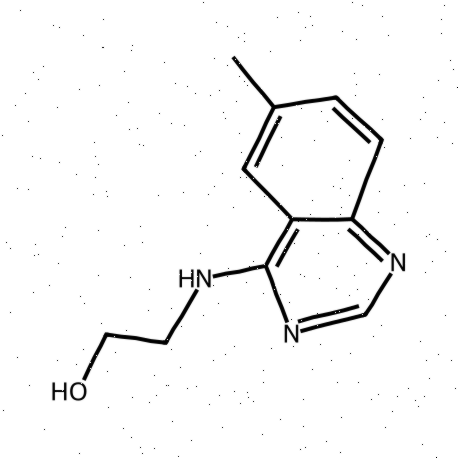 Cc1ccc2ncnc(NCCO)c2c1